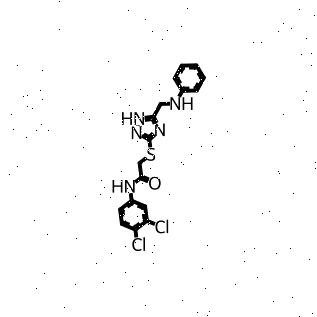 O=C(CSc1n[nH]c(CNc2ccccc2)n1)Nc1ccc(Cl)c(Cl)c1